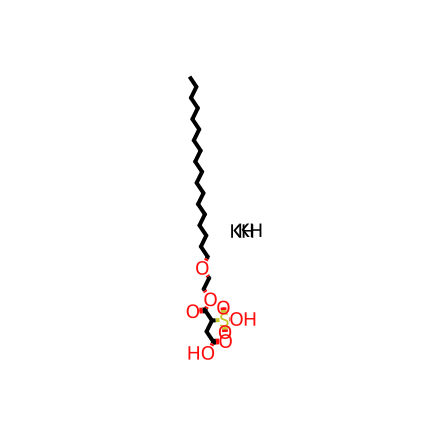 CCCCCCCCCCCCCCCCCCOCCOC(=O)C(CC(=O)O)S(=O)(=O)O.[KH].[KH]